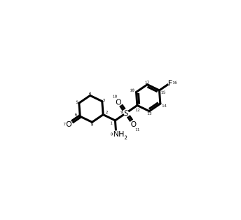 NC(C1CCCC(=O)C1)S(=O)(=O)c1ccc(F)cc1